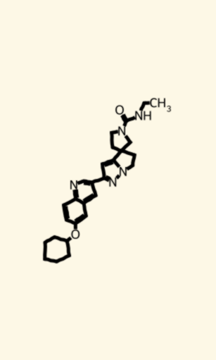 CCNC(=O)N1CCC2(CCn3nc(-c4cnc5ccc(OC6CCCCC6)cc5c4)cc32)C1